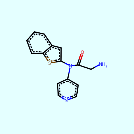 NCC(=O)N(c1ccncc1)c1cc2ccccc2s1